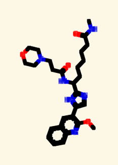 CNC(=O)CCCCCC(NC(=O)CCN1CCOCC1)c1ncc(-c2cc3ccccc3nc2OC)[nH]1